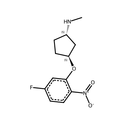 CN[C@H]1CC[C@H](Oc2cc(F)ccc2[N+](=O)[O-])C1